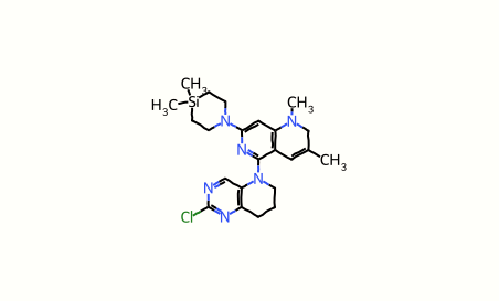 CC1=Cc2c(cc(N3CC[Si](C)(C)CC3)nc2N2CCCc3nc(Cl)ncc32)N(C)C1